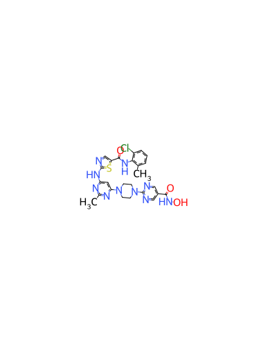 Cc1nc(Nc2ncc(C(=O)Nc3c(C)cccc3Cl)s2)cc(N2CCN(c3ncc(C(=O)NO)cn3)CC2)n1